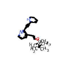 CC(C)(C)[Si](C)(C)OC=Cc1cccnc1C#Cc1ccccn1